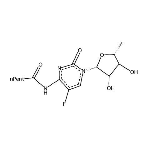 CCCCCC(=O)Nc1nc(=O)n([C@@H]2O[C@H](C)C(O)C2O)cc1F